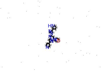 C1=C(c2cn(-c3cc(N4CCOCC4)n4nc(-c5ccncc5)cc4n3)cn2)CNCC1